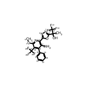 COc1nc(-c2nnc(C(C)(O)C(F)(F)F)o2)c(N)c(-c2ccccc2)c1C(F)(F)F